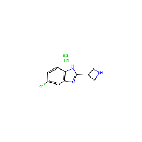 Cl.Cl.Clc1ccc2[nH]c(C3CNC3)nc2c1